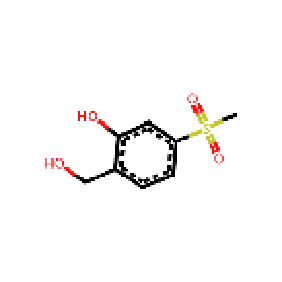 CS(=O)(=O)c1ccc(CO)c(O)c1